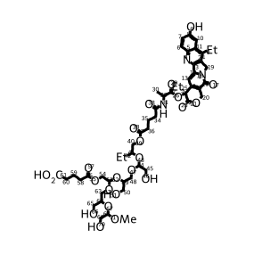 CCc1c2c(nc3ccc(O)cc13)-c1cc3c(c(=O)n1C2)COC(=O)[C@@]3(CC)OC(=O)C(C)NC(=O)CCCC(=O)OCC(CC)OC(CO)OCC(CO)OC(COC(=O)CCCC(=O)O)OCC(CO)OC(CO)OC